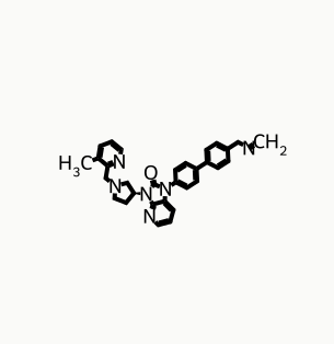 C=NCc1ccc(-c2ccc(-n3c(=O)n([C@H]4CCN(Cc5ncccc5C)C4)c4ncccc43)cc2)cc1